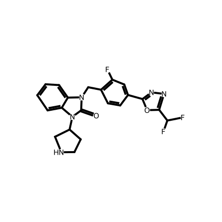 O=c1n(Cc2ccc(-c3nnc(C(F)F)o3)cc2F)c2ccccc2n1C1CCNC1